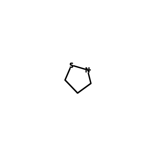 C1C[N]SC1